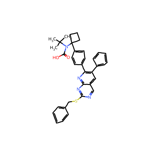 CC(C)(C)N(C(=O)O)C1(c2ccc(-c3nc4nc(SCc5ccccc5)ncc4cc3-c3ccccc3)cc2)CCC1